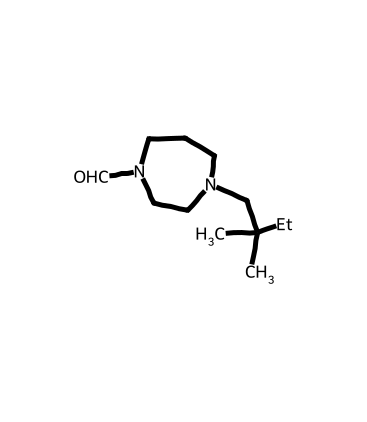 [CH2]CC(C)(C)CN1CCCN(C=O)CC1